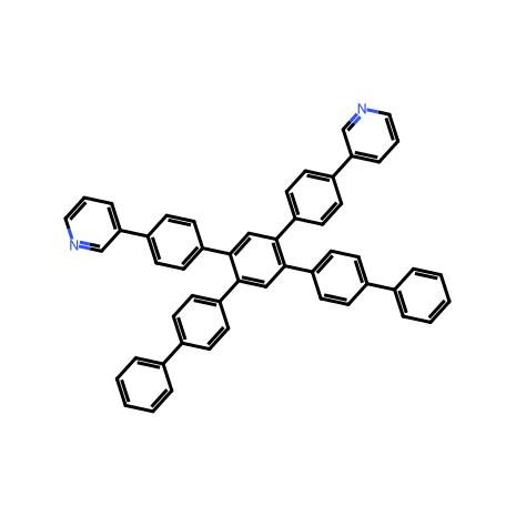 c1ccc(-c2ccc(-c3cc(-c4ccc(-c5ccccc5)cc4)c(-c4ccc(-c5cccnc5)cc4)cc3-c3ccc(-c4cccnc4)cc3)cc2)cc1